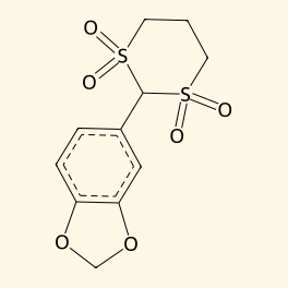 O=S1(=O)CCCS(=O)(=O)C1c1ccc2c(c1)OCO2